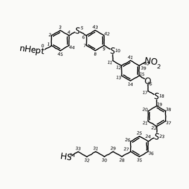 CCCCCCCc1ccc(Sc2ccc(SCc3ccc(OCSc4ccc(Sc5ccc(CCCCCCS)cc5)cc4)c([N+](=O)[O-])c3)cc2)cc1